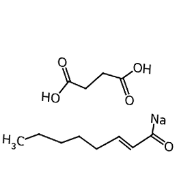 CCCCCC=C[C](=O)[Na].O=C(O)CCC(=O)O